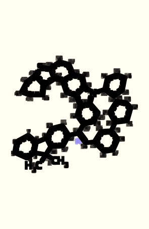 CC1(C)c2ccccc2-c2ccc(/C(=C/c3cccc(-c4ccccc4)c3)c3ccc4c(c3)c3cc5c(ccc6sc7ccccc7c65)cc3n4-c3ccccc3)cc21